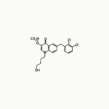 O=C(O)Oc1cn(CCCCO)c2ccc(Cc3cccc(Cl)c3Cl)cc2c1=O